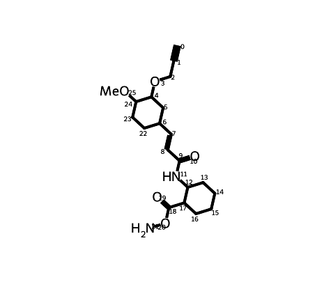 C#CCOC1CC(/C=C/C(=O)NC2CCCCC2C(=O)ON)CCC1OC